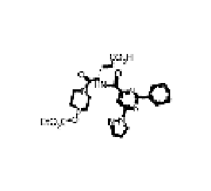 CCOC(=O)ON1CCN(C(=O)[C@H](CCC(=O)O)NC(=O)c2cc(N3CCC=N3)nc(-c3ccccc3)n2)CC1